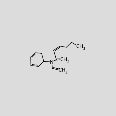 C=CN(C(=C)/C=C\CCC)C1C=CC=CC1